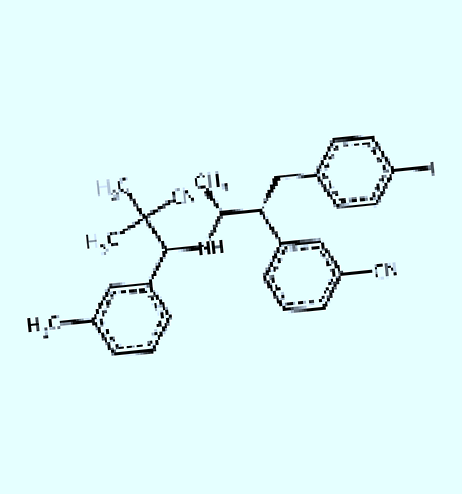 Cc1cccc(C(N[C@@H](C)[C@@H](Cc2ccc(I)cc2)c2cccc(C#N)c2)C(C)(C)C#N)c1